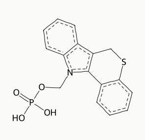 O=P(O)(O)OCn1c2c(c3ccccc31)CSc1ccccc1-2